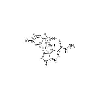 NNC(=O)c1cnc2[nH]ccc2c1N[C@H]1[C@@H]2CC3C[C@H]1C[C@@](O)(C3)C2